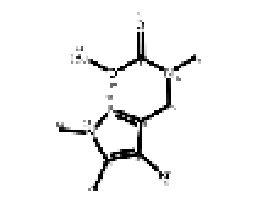 Cc1c(Br)c(CN(C)C(=O)OC(C)(C)C)nn1C